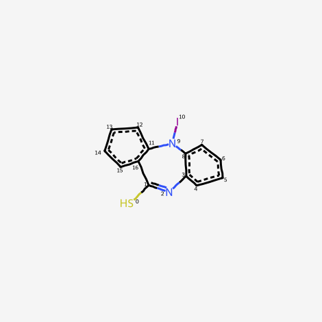 SC1=Nc2ccccc2N(I)c2ccccc21